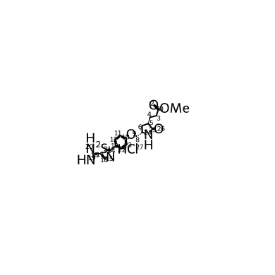 COC(=O)CC[C@@H]1C[C@@H](COc2ccc(-c3ncc(C(=N)N)s3)cc2)NC1=O.Cl